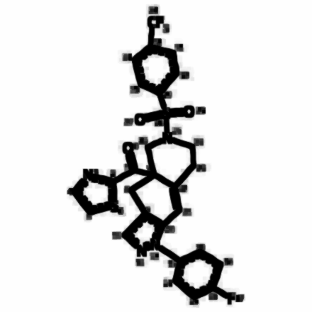 O=C(c1nccs1)C12Cc3cnn(-c4ccc(F)cc4)c3C=C1CCN(S(=O)(=O)c1ccc(C(F)(F)F)cc1)C2